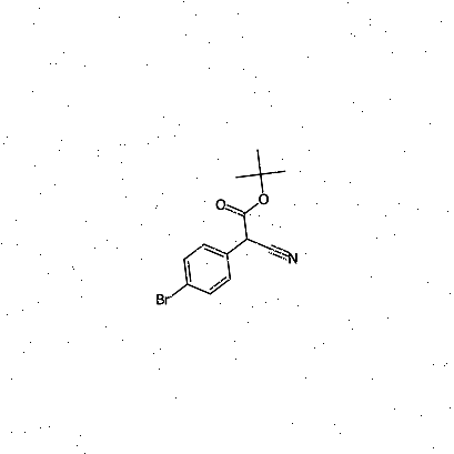 CC(C)(C)OC(=O)C(C#N)c1ccc(Br)cc1